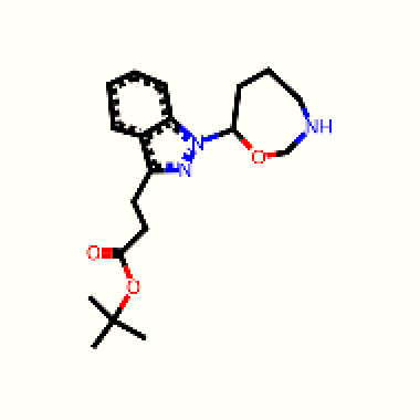 CC(C)(C)OC(=O)CCc1nn(C2CCCNCO2)c2ccccc12